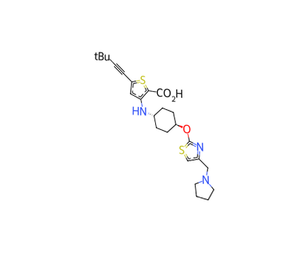 CC(C)(C)C#Cc1cc(N[C@H]2CC[C@H](Oc3nc(CN4CCCC4)cs3)CC2)c(C(=O)O)s1